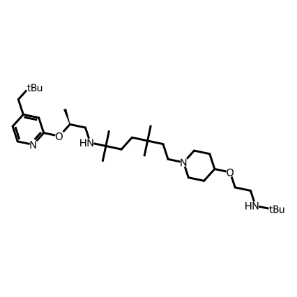 C[C@@H](CNC(C)(C)CCC(C)(C)CCN1CCC(OCCNC(C)(C)C)CC1)Oc1cc(CC(C)(C)C)ccn1